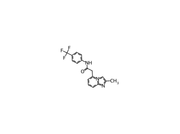 Cc1cn2c(CC(=O)Nc3ccc(C(F)(F)F)cc3)cccc2n1